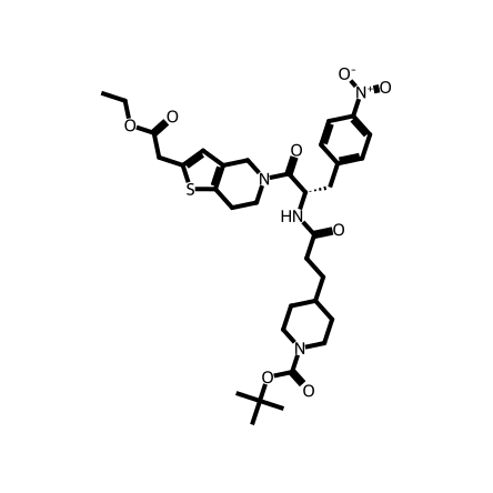 CCOC(=O)Cc1cc2c(s1)CCN(C(=O)[C@H](Cc1ccc([N+](=O)[O-])cc1)NC(=O)CCC1CCN(C(=O)OC(C)(C)C)CC1)C2